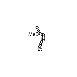 CCN1C=CN(c2ccc(/C=C/C3NCCc4cc(OCc5ccccc5)c(OC)cc43)cc2)C=C1